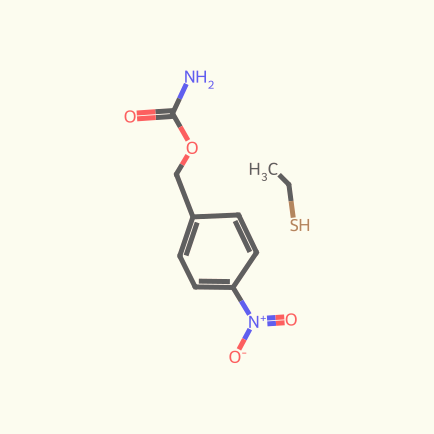 CCS.NC(=O)OCc1ccc([N+](=O)[O-])cc1